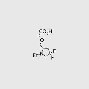 CCN1CC(F)(F)CC1COCC(=O)O